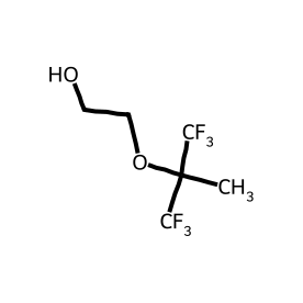 CC(OCCO)(C(F)(F)F)C(F)(F)F